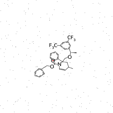 CC1C=CN(C(=O)OCc2ccccc2)C(CO[C@H](C)c2cc(C(F)(F)F)cc(C(F)(F)F)c2)(c2ccccc2)C1